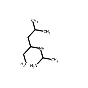 CCC([CH]C(C)C)NC(C)N